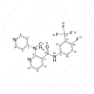 CN(c1ccncc1)c1ncccc1C(=O)Nc1ccc(F)c(C(F)(F)F)c1